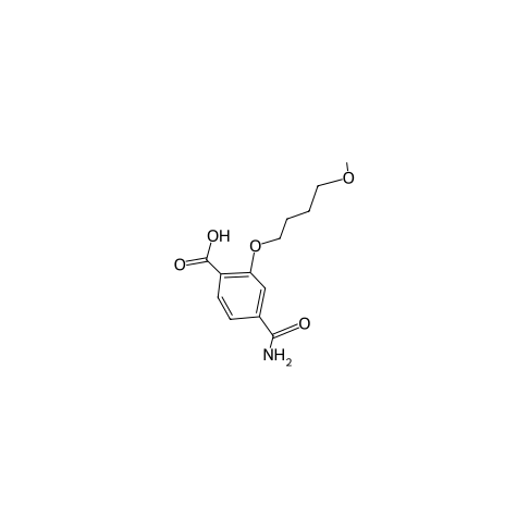 COCCCCOc1cc(C(N)=O)ccc1C(=O)O